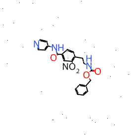 O=C(NCCc1ccc(C(=O)Nc2ccncc2)cc1[N+](=O)[O-])OCc1ccccc1